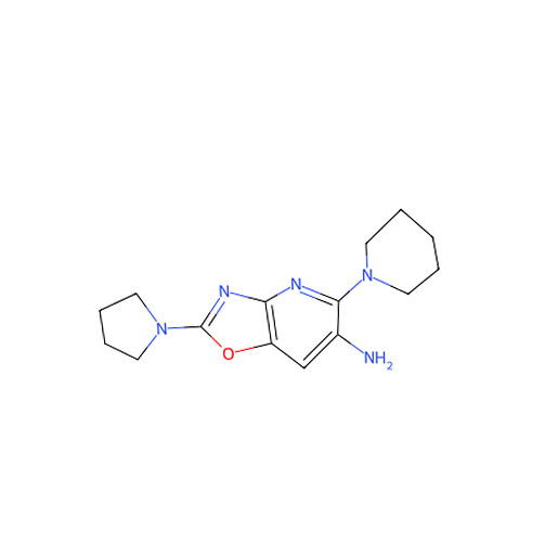 Nc1cc2oc(N3CCCC3)nc2nc1N1CCCCC1